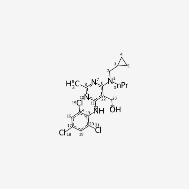 CCCN(CC1CC1)c1nc(C)nc(Nc2c(Cl)cc(Cl)cc2Cl)c1CO